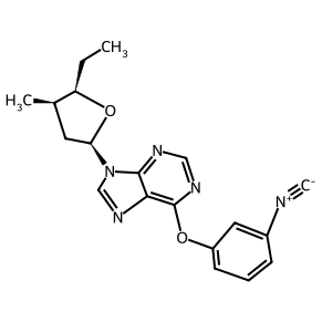 [C-]#[N+]c1cccc(Oc2ncnc3c2ncn3[C@H]2C[C@@H](C)[C@@H](CC)O2)c1